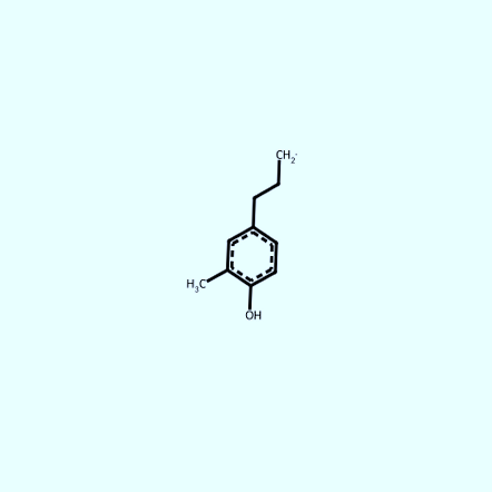 [CH2]CCc1ccc(O)c(C)c1